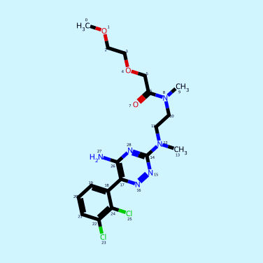 COCCOCC(=O)N(C)CCN(C)c1nnc(-c2cccc(Cl)c2Cl)c(N)n1